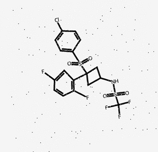 O=S(=O)(NC1CC(c2cc(F)ccc2F)(S(=O)(=O)c2ccc(Cl)cc2)C1)C(F)(F)F